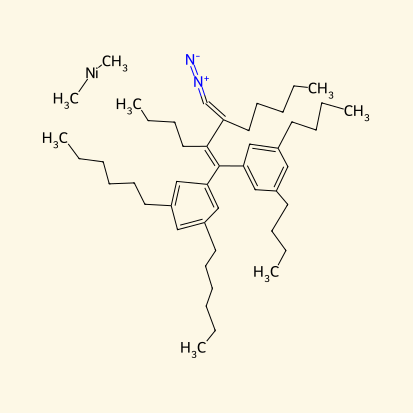 CCCCCCc1cc(CCCCCC)cc(C(=C(CCCC)C(=C=[N+]=[N-])CCCCC)c2cc(CCCC)cc(CCCC)c2)c1.[CH3][Ni][CH3]